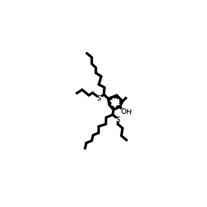 CCCCCCCCC(SCCCC)c1cc(C)c(O)c(C(CCCCCCCC)SCCCC)c1